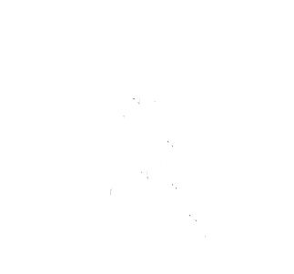 CN1CCN(c2ncc(C(=O)N(Cc3ccccc3)C3CC3)c(-c3ccccc3F)n2)CC1